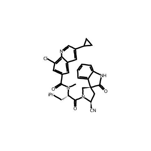 CC(C)C[C@@H](C(=O)N1C[C@]2(C[C@H]1C#N)C(=O)Nc1ccccc12)N(C)C(=O)c1cc(Cl)c2ncc(C3CC3)cc2c1